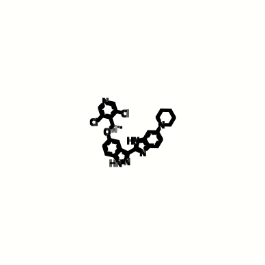 C[C@H](Oc1ccc2[nH]nc(-c3nc4ccc(N5CCCCC5)cc4[nH]3)c2c1)c1c(Cl)cncc1Cl